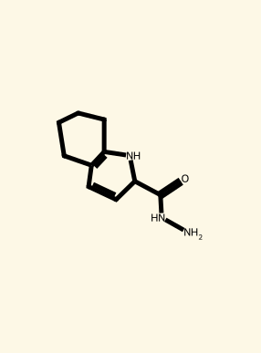 NNC(=O)C1C=CC2=C(CCCC2)N1